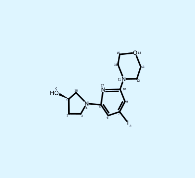 O[C@@H]1CCN(c2cc(I)cc(N3CCOCC3)n2)C1